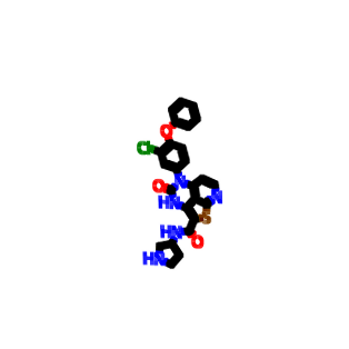 O=C(NC1CCNC1)c1sc2nccc3c2c1NC(=O)N3c1ccc(Oc2ccccc2)c(Cl)c1